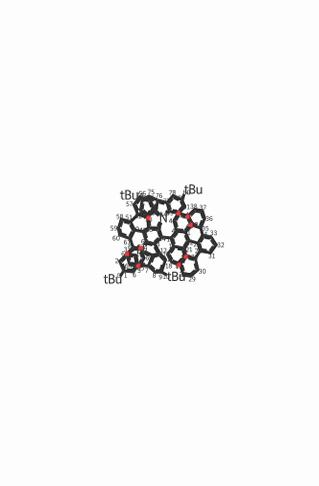 CC(C)(C)c1ccc2c(c1)c1cc(C(C)(C)C)cc3c4c(-c5c6ccccc6c(-c6c(-c7ccccc7)cccc6-c6ccccc6)c6ccccc56)c5c(c(-c6c(-c7ccccc7)cccc6-c6ccccc6)c4n2c13)c1cc(C(C)(C)C)cc2c3cc(C(C)(C)C)ccc3n5c21